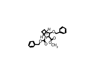 COC(=O)C1C(OCc2ccccc2)[C@H]2CC[C@H]2N1C(=O)OCc1ccccc1